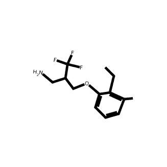 CCc1c(C)cccc1OCC(CN)C(F)(F)F